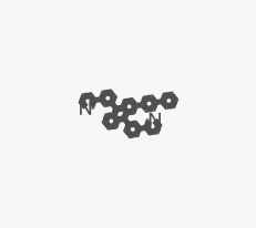 c1ccc(-c2ccc(-c3ccc4c(-c5cccc(-c6cccnc6)c5)c5ccccc5c(-c5cccc(-c6cccnc6)c5)c4c3)cc2)cc1